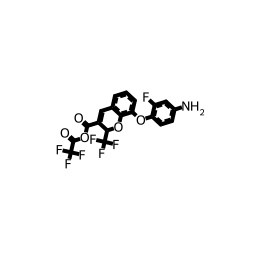 Nc1ccc(Oc2cccc3c2OC(C(F)(F)F)C(C(=O)OC(=O)C(F)(F)F)=C3)c(F)c1